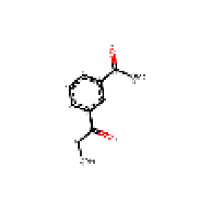 COCC(=O)c1cccc(C(=O)OC)c1